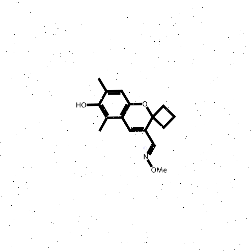 CO/N=C/C1=Cc2c(cc(C)c(O)c2C)OC12CCC2